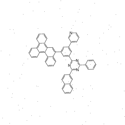 c1ccc(-c2nc(-c3cc(-c4cccnc4)cc(-c4cc5c6ccccc6c6ccccc6c5c5ccccc45)c3)nc(-c3ccc4ccccc4c3)n2)cc1